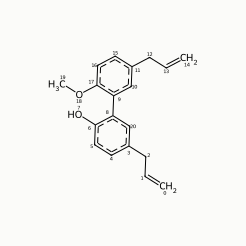 C=CCc1ccc(O)c(-c2cc(CC=C)ccc2OC)c1